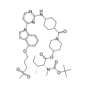 CC[C@@H](C)[C@H](C(=O)OC1CCN(C(=O)C2CCC(Nc3nccc(-n4ccc5c(OCCCS(C)(=O)=O)cccc54)n3)CC2)CC1)N(C)C(=O)OC(C)(C)C